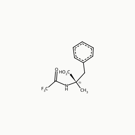 C[C@@](Cc1ccccc1)(NC(=O)C(F)(F)F)C(=O)O